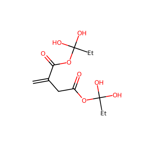 C=C(CC(=O)OC(O)(O)CC)C(=O)OC(O)(O)CC